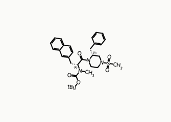 CN(C(=O)OC(C)(C)C)[C@H](Cc1ccc2ccccc2c1)C(=O)N1CCN(S(C)(=O)=O)C[C@H]1Cc1ccccc1